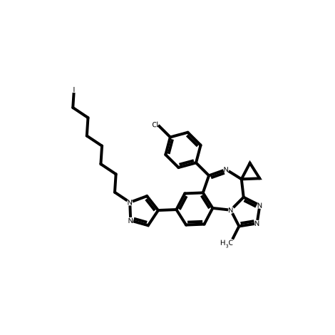 Cc1nnc2n1-c1ccc(-c3cnn(CCCCCCCI)c3)cc1C(c1ccc(Cl)cc1)=NC21CC1